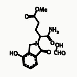 COC(=O)CCC(C(N)=O)N1Cc2c(O)cccc2C1=O.O=CO